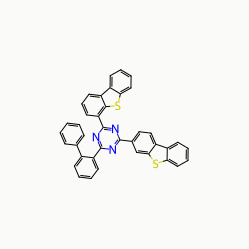 c1ccc(-c2ccccc2-c2nc(-c3ccc4c(c3)sc3ccccc34)nc(-c3cccc4c3sc3ccccc34)n2)cc1